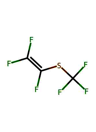 FC(F)=C(F)SC(F)(F)F